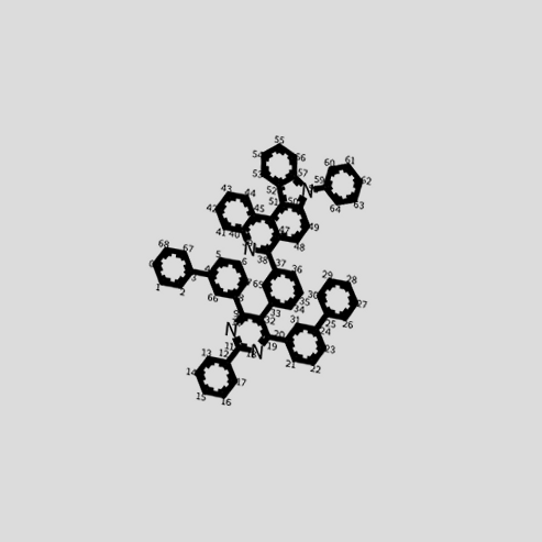 c1ccc(-c2cccc(-c3nc(-c4ccccc4)nc(-c4cccc(-c5ccccc5)c4)c3-c3cccc(-c4nc5ccccc5c5c4ccc4c5c5ccccc5n4-c4ccccc4)c3)c2)cc1